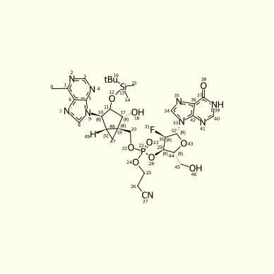 Cc1ncnc2c1ncn2[C@H]1C(O[Si](C)(C)C(C)(C)C)[C@H](O)[C@]2(COP(=O)(OCCC#N)O[C@H]3[C@@H](F)[C@H](n4cnc5c(=O)[nH]cnc54)O[C@@H]3CO)C[C@H]12